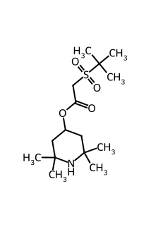 CC1(C)CC(OC(=O)CS(=O)(=O)C(C)(C)C)CC(C)(C)N1